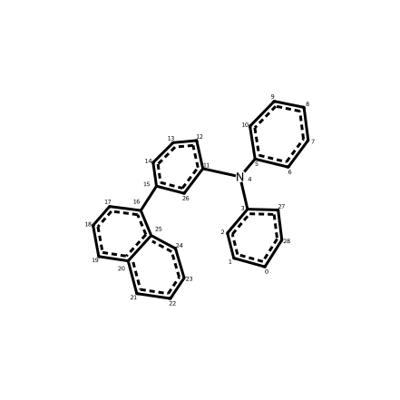 c1ccc(N(c2ccccc2)c2cccc(-c3cccc4ccccc34)c2)cc1